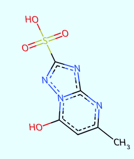 Cc1cc(O)n2nc(S(=O)(=O)O)nc2n1